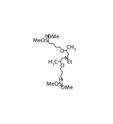 CCN(CC(C)OCCCC[SiH](OC)OC)CC(C)OCCCC[SiH](OC)OC